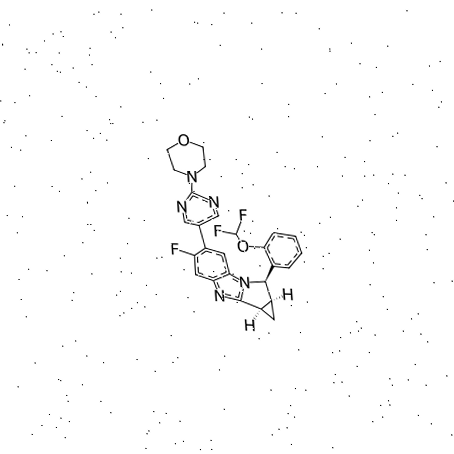 Fc1cc2nc3n(c2cc1-c1cnc(N2CCOCC2)nc1)[C@@H](c1ccccc1OC(F)F)[C@H]1C[C@@H]31